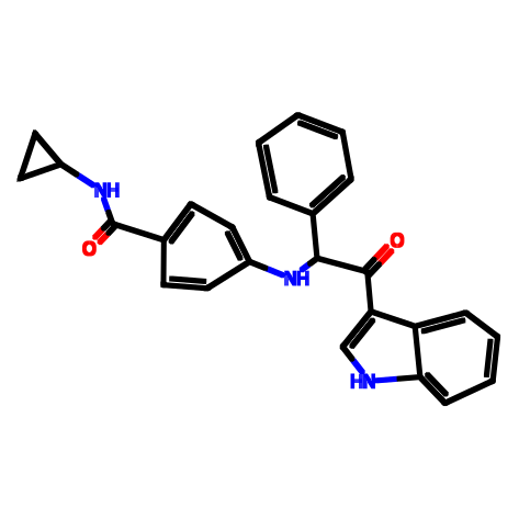 O=C(NC1CC1)c1ccc(NC(C(=O)c2c[nH]c3ccccc23)c2ccccc2)cc1